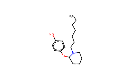 CCCCCCCN1CCCCC1Oc1ccc(O)cc1